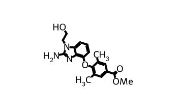 COC(=O)c1cc(C)c(Oc2cccc3c2nc(N)n3CCO)c(C)c1